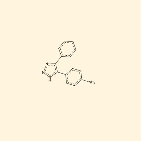 Nc1ccc(-c2[nH]nnc2-c2ccccc2)cc1